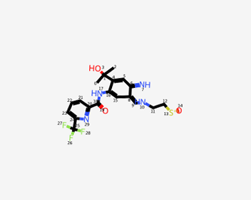 CC(C)(O)C1=CC(=N)/C(=C\NCC[S+]=O)C=C1NC(=O)c1cccc(C(F)(F)F)n1